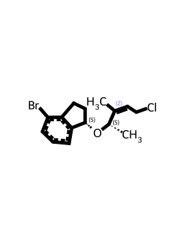 C/C(=C/CCl)[C@H](C)O[C@H]1CCc2c(Br)cccc21